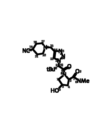 CNC(=O)C1CC(O)CN1C(=O)[C@@H](n1cc(CN2CCC(C#N)CC2)nn1)C(C)(C)C